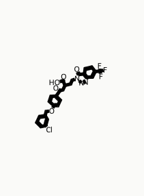 O=C(CC(CCn1nnc2cc(C(F)(F)F)ccc2c1=O)C(=O)O)c1ccc(OCc2cccc(Cl)c2)cc1